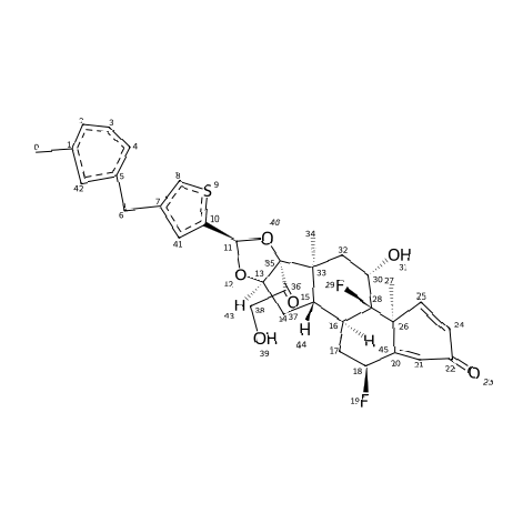 Cc1cccc(Cc2csc([C@@H]3O[C@@H]4C[C@H]5[C@@H]6C[C@H](F)C7=CC(=O)C=C[C@]7(C)[C@@]6(F)[C@@H](O)C[C@]5(C)[C@]4(C(=O)CO)O3)c2)c1